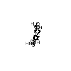 CCS(=O)(=O)N1CCN(c2ccc(NS(=O)(=O)O)cc2)CC1